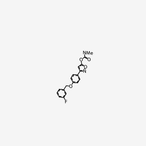 CNC(=O)Oc1cc(-c2ccc(OCc3cccc(F)c3)cc2)no1